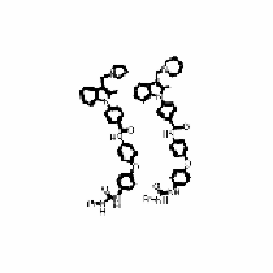 Cc1c(CN2CCCC2)c2ccccc2n1-c1ccc(C(=O)Nc2ccc(Oc3ccc(NC(=O)NC(C)C)cc3)cc2)cc1.Cc1c(CN2CCCCC2)c2ccccc2n1-c1ccc(C(=O)Nc2ccc(Oc3ccc(NC(=O)NC(C)C)cc3)cc2)cc1